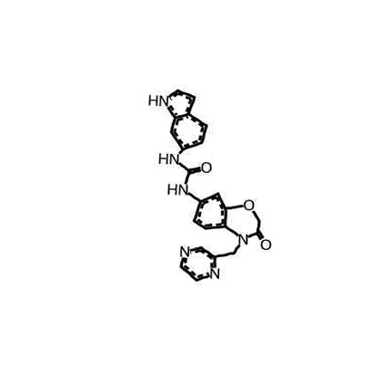 O=C(Nc1ccc2c(c1)OCC(=O)N2Cc1cnccn1)Nc1ccc2cc[nH]c2c1